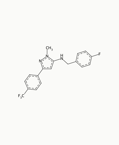 Cn1nc(-c2ccc(C(F)(F)F)cc2)cc1NCc1ccc(F)cc1